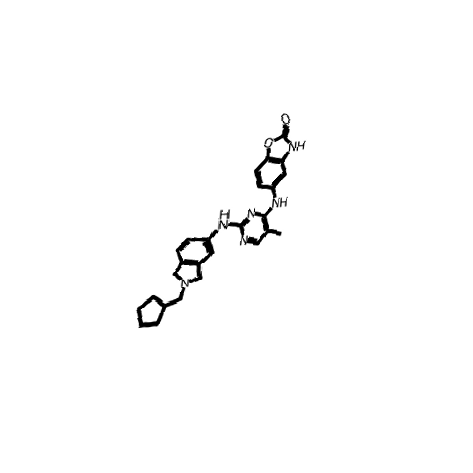 Cc1cnc(Nc2ccc3c(c2)CN(CC2CCCC2)C3)nc1Nc1ccc2oc(=O)[nH]c2c1